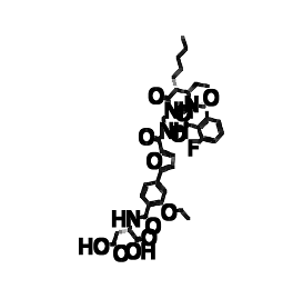 CCCCC[C@@H](C(=O)NCNC(=O)c1ccc(-c2ccc(C(=O)N[C@@H](CC(=O)O)C(=O)O)c(OCC)c2)o1)[C@@H](CC)N(C=O)OC(=O)c1c(C)cccc1F